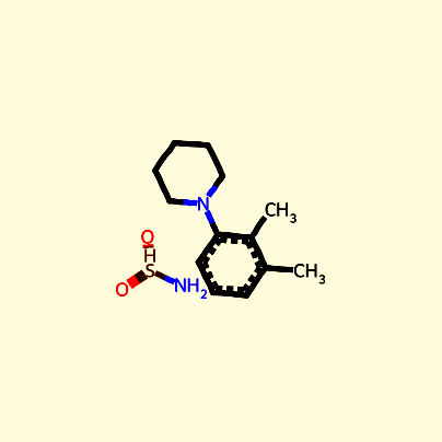 Cc1cccc(N2CCCCC2)c1C.N[SH](=O)=O